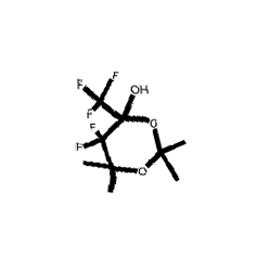 CC1(C)OC(C)(C)C(F)(F)C(O)(C(F)(F)F)O1